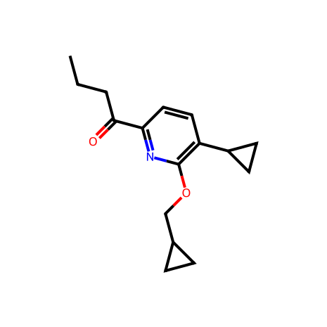 CCCC(=O)c1ccc(C2CC2)c(OCC2CC2)n1